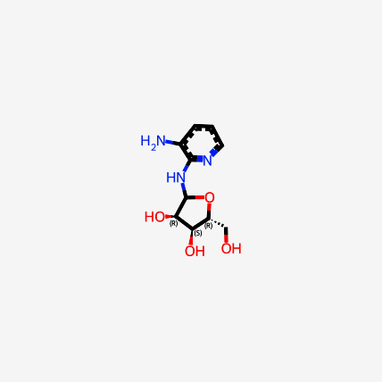 Nc1cccnc1NC1O[C@H](CO)[C@@H](O)[C@H]1O